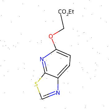 CCOC(=O)COc1ccc2n[c]sc2n1